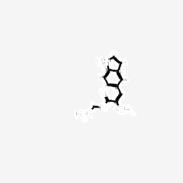 CCOC(=O)C(C)=Cc1ccc2[nH]ccc2c1